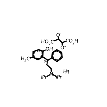 Cc1ccc(O)c([C@H](CCN(C(C)C)C(C)C)c2ccccc2)c1.O=C(O)C([O-])C([O-])C(=O)O.[H+].[H+]